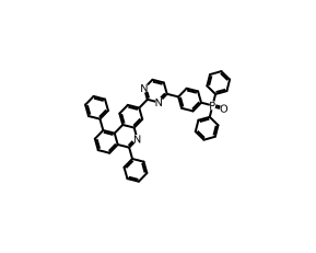 O=P(c1ccccc1)(c1ccccc1)c1ccc(-c2ccnc(-c3ccc4c(c3)nc(-c3ccccc3)c3cccc(-c5ccccc5)c34)n2)cc1